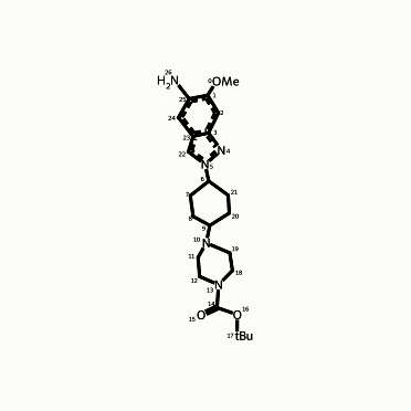 COc1cc2nn(C3CCC(N4CCN(C(=O)OC(C)(C)C)CC4)CC3)cc2cc1N